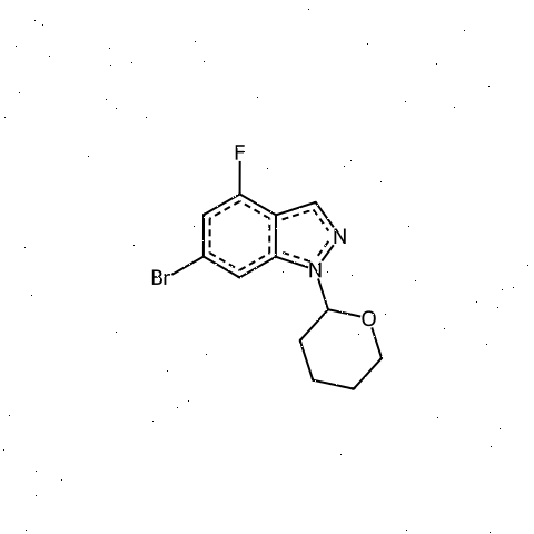 Fc1cc(Br)cc2c1cnn2C1CCCCO1